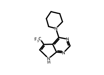 FC(F)(F)c1c[nH]c2ncnc(N3CCCCC3)c12